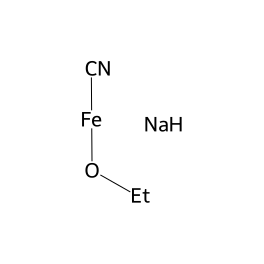 CC[O][Fe][C]#N.[NaH]